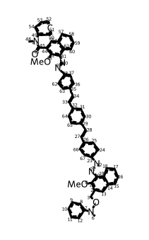 COc1c(CON(C)c2ccccc2)cc2ccccc2c1N=Nc1ccc(C=Cc2ccc(C=Cc3ccc(N=Nc4c(OC)c(C(=O)N(C)c5ccccc5)cc5ccccc45)cc3)cc2)cc1